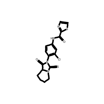 O=C(Nc1ccc(N2C(=O)C3CCCCN3C2=S)c(Cl)c1)c1nccs1